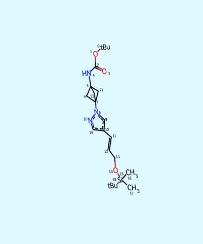 CC(C)(C)OC(=O)NC12CC(n3cc(/C=C/CO[Si](C)(C)C(C)(C)C)cn3)(C1)C2